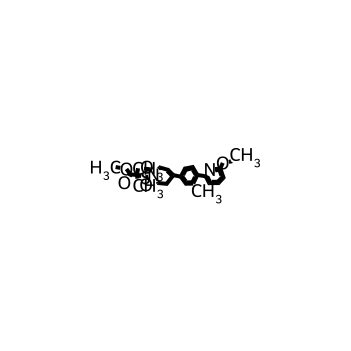 CCOc1cccc(-c2ccc(C3=CCN(S(=O)(=O)C(C)(C)C(=O)OC)CC3)cc2C)n1